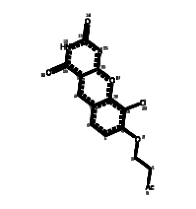 CC(=O)CCOc1ccc2cc3c(=O)[nH]c(=O)nc-3oc2c1Cl